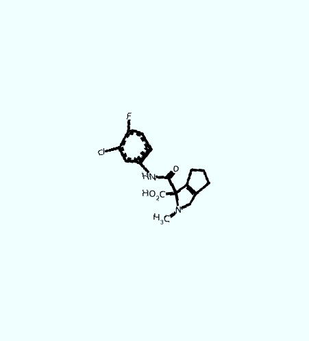 CN1CC2=C(CCC2)C1(C(=O)O)C(=O)Nc1ccc(F)c(Cl)c1